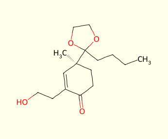 CCCCC1([C@]2(C)C=C(CCO)C(=O)CC2)OCCO1